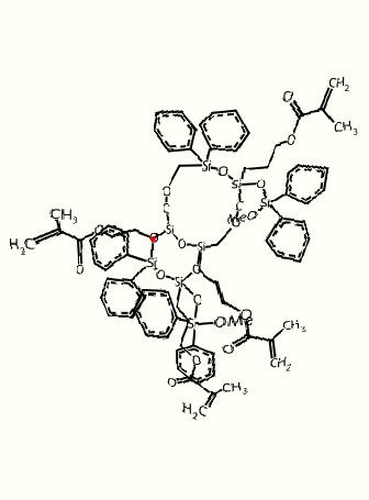 C=C(C)C(=O)OCCC[Si]12COC[Si](CCCOC(=O)C(=C)C)(O[Si](OC)(c3ccccc3)c3ccccc3)O[Si](c3ccccc3)(c3ccccc3)COC[Si](CCCOC(=O)C(=C)C)(O1)O[Si](c1ccccc1)(c1ccccc1)O[Si](CCCOC(=O)C(=C)C)(O[Si](OC)(c1ccccc1)c1ccccc1)O2